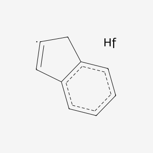 [C]1=Cc2ccccc2C1.[Hf]